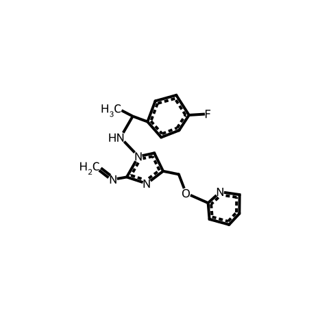 C=Nc1nc(COc2ccccn2)cn1NC(C)c1ccc(F)cc1